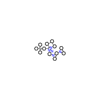 c1ccc([Si](c2ccccc2)(c2ccccc2)c2ccc(-c3c4n(c5nc6c(-n7c8ccccc8c8cc(-n9c%10ccccc%10c%10ccccc%109)ccc87)cccc6n35)-c3ccccc3-c3ccccc3-c3ccccc3-4)cc2)cc1